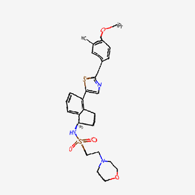 CC(C)Oc1ccc(-c2ncc(-c3cccc4c3CC[C@H]4NS(=O)(=O)CCN3CCOCC3)s2)cc1C#N